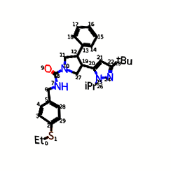 CCSc1ccc(CNC(=O)N2CC(c3ccccc3)C(c3cc(C(C)(C)C)nn3C(C)C)C2)cc1